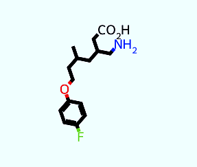 CC(CCOc1ccc(F)cc1)CC(CN)CC(=O)O